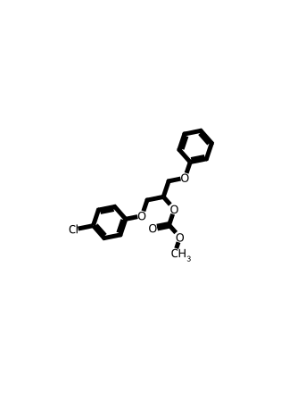 COC(=O)OC(COc1ccccc1)COc1ccc(Cl)cc1